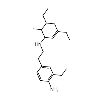 CCC1=CC(NCCc2ccc(N)c(CC)c2)C(C)C(CC)C1